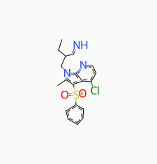 CCC(C=N)Cn1c(C)c(S(=O)(=O)c2ccccc2)c2c(Cl)ccnc21